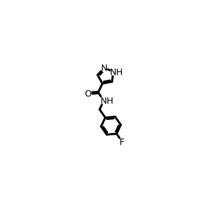 O=C(NCc1ccc(F)cc1)c1cn[nH]c1